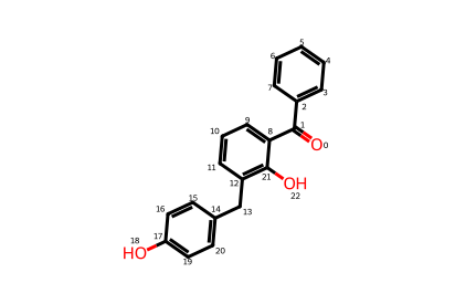 O=C(c1ccccc1)c1cccc(Cc2ccc(O)cc2)c1O